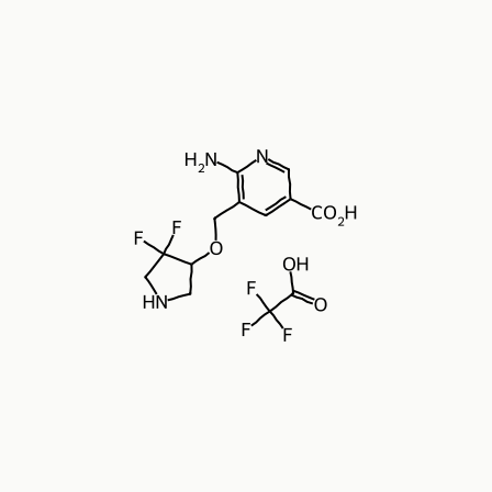 Nc1ncc(C(=O)O)cc1COC1CNCC1(F)F.O=C(O)C(F)(F)F